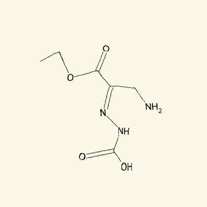 CCOC(=O)C(CN)=NNC(=O)O